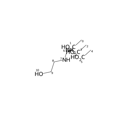 CC(=O)O.CC(=O)O.CC(=O)O.NNCCO